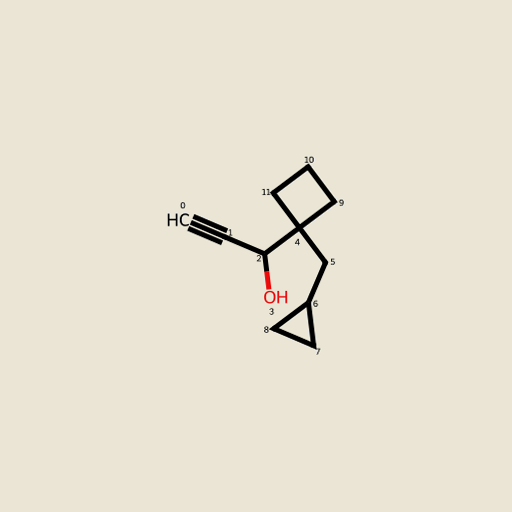 C#CC(O)C1(CC2CC2)CCC1